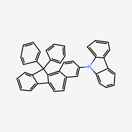 c1ccc(C2(c3ccccc3)c3ccccc3-c3ccc4cc(-n5c6ccccc6c6ccccc65)ccc4c32)cc1